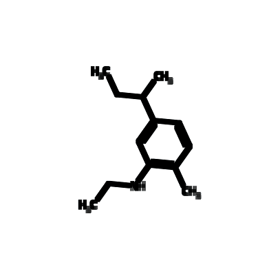 CCNc1cc(C(C)CC)ccc1C